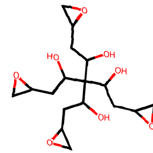 OC(CC1CO1)C(C(O)CC1CO1)(C(O)CC1CO1)C(O)CC1CO1